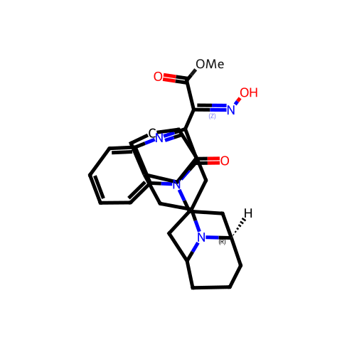 COC(=O)/C(=N\O)c1nc2ccccc2n(C2CC3CCC[C@H](C2)N3C2CC3CCCC(C3)C2)c1=O